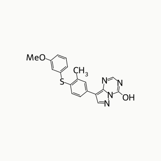 COc1cccc(Sc2ccc(-c3cnn4c(O)ncnc34)cc2C)c1